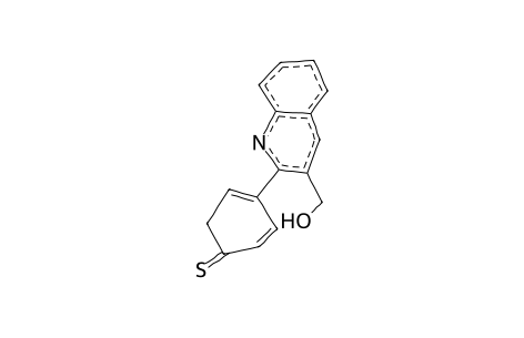 OCc1cc2ccccc2nc1C1=CCC(=S)C=C1